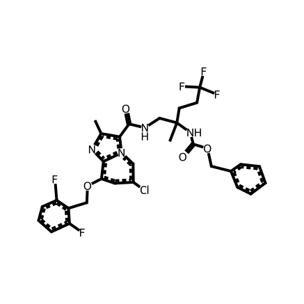 Cc1nc2c(OCc3c(F)cccc3F)cc(Cl)cn2c1C(=O)NCC(C)(CCC(F)(F)F)NC(=O)OCc1ccccc1